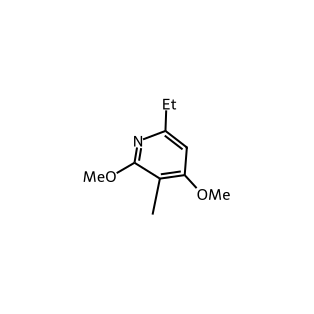 CCc1cc(OC)c(C)c(OC)n1